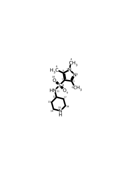 Cc1nn(C)c(C)c1S(=O)(=O)NC1CCNCC1